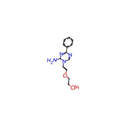 NC1N=C(c2ccccc2)N=CN1CCOCCO